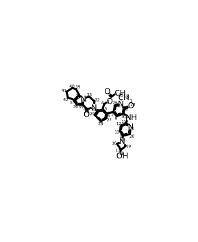 CC(=O)OCc1c(-c2cc(Nc3ccc(N4CC(O)C4)cn3)c(=O)n(C)c2)cccc1N1CCn2c(cc3c2CCCC3)C1=O